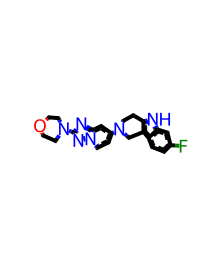 Fc1ccc2c3c([nH]c2c1)CCN(c1ccn2nc(N4CCOCC4)nc2c1)C3